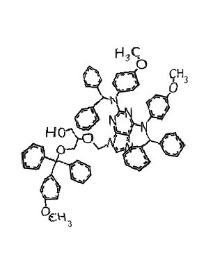 COc1ccc(N(c2nc(N(c3ccc(OC)cc3)C(c3ccccc3)c3ccccc3)c3ncn(COC(CO)COC(c4ccccc4)(c4ccccc4)c4ccc(OC)cc4)c3n2)C(c2ccccc2)c2ccccc2)cc1